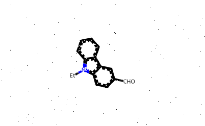 CCn1c2[c]cc(C=O)cc2c2ccccc21